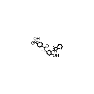 O=C(Nc1ccc(O)c(-c2nc3ccccc3s2)c1)c1ccc([N+](=O)O)cc1